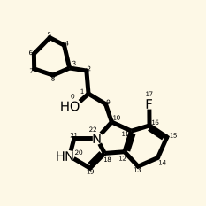 OC(CC1CCCCC1)CC1C2=C(CCC=C2F)C2=CNCN21